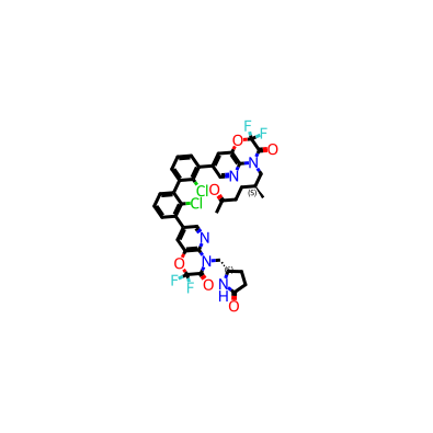 CC(=O)CC[C@H](C)CN1C(=O)C(F)(F)Oc2cc(-c3cccc(-c4cccc(-c5cnc6c(c5)OC(F)(F)C(=O)N6C[C@@H]5CCC(=O)N5)c4Cl)c3Cl)cnc21